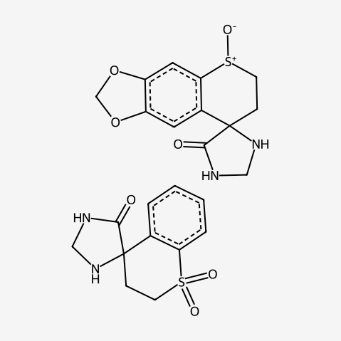 O=C1NCNC12CCS(=O)(=O)c1ccccc12.O=C1NCNC12CC[S+]([O-])c1cc3c(cc12)OCO3